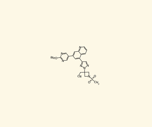 COc1ncc(-c2cc(-c3cnn(C4(CC#N)CN(S(C)(=O)=O)C4)n3)c3cccnc3c2)cn1